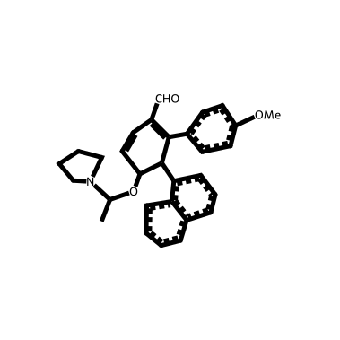 COc1ccc(C2=C(C=O)C=CC(OC(C)N3CCCC3)C2c2cccc3ccccc23)cc1